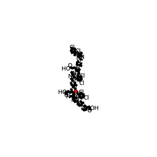 Cc1nn(C(C)c2ccc(Cl)cc2Cl)c2nc(N3CCC(N4CC(CC(c5ccc(Cl)cc5Cl)n5nc(C)c6ncc(N7CCC(N8CC(CCC(=O)O)CC(CC(c9ccc(Cl)cc9Cl)n9nc(C#N)c%10ncc(N%11CCC(N%12CCCC(CC(=O)O)C%12)C(C)C%11)nc%109)C8)C(C)C7)nc65)CC4CCC(=O)O)C(C)C3)cnc12